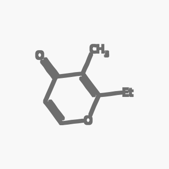 CCc1occc(=O)c1C